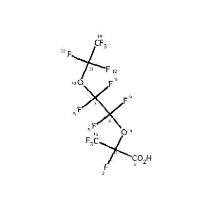 O=C(O)C(F)(OC(F)(F)C(F)(F)OC(F)(F)C(F)(F)F)C(F)(F)F